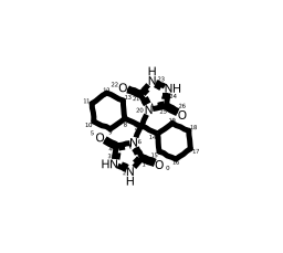 O=c1[nH][nH]c(=O)n1C(C1CCCCC1)(C1CCCCC1)n1c(=O)[nH][nH]c1=O